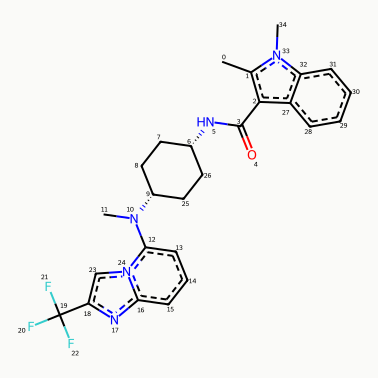 Cc1c(C(=O)N[C@H]2CC[C@@H](N(C)c3cccc4nc(C(F)(F)F)cn34)CC2)c2ccccc2n1C